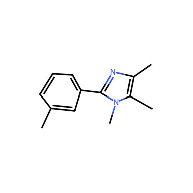 Cc1cccc(-c2nc(C)c(C)n2C)c1